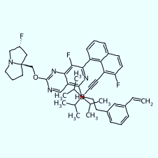 C=Cc1cccc(CCNc2nc(-c3cccc4ccc(F)c(C#C[Si](C(C)C)(C(C)C)C(C)C)c34)c(F)c3nc(OC[C@@]45CCCN4C[C@H](F)C5)ncc23)c1